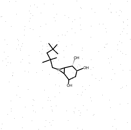 CC(C)(C)CC(C)(C)CN1C2C(O)CC(O)[C@@H](O)C21